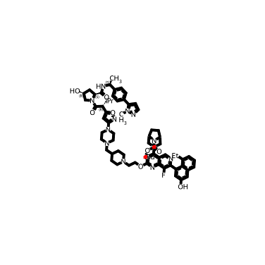 CCc1cccc2cc(O)cc(-c3ncc4c(N5CC6CCC(C5)N6C(=O)OC(C)(C)C)nc(OCCN5CCC(CN6CCN(c7cc([C@H](C(=O)N8C[C@H](O)C[C@H]8C(=O)N[C@@H](C)c8ccc(-c9ccnn9C)cc8)C(C)C)on7)CC6)CC5)nc4c3F)c12